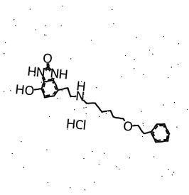 Cl.O=c1[nH]c2c(O)ccc(CCNCCCCCCOCCc3ccccc3)c2[nH]1